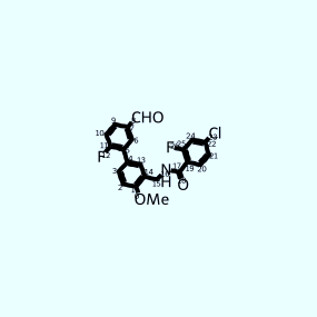 COc1ccc(-c2cc(C=O)ccc2F)cc1CNC(=O)c1ccc(Cl)cc1F